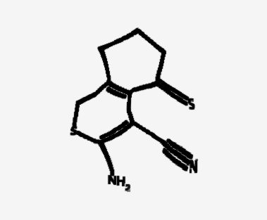 N#CC1=C(N)SCC2=C1C(=S)CCC2